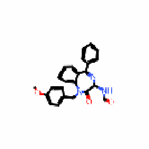 COc1ccc(CN2C(=O)C(NC=O)N=C(c3ccccc3)c3ccccc32)cc1